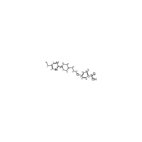 CCc1cnc(N2CCC(CCCOc3ccc(C(=O)O)c(C)c3)CC2)nc1